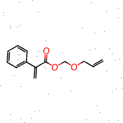 C=CCOCOC(=O)C(=C)c1ccccc1